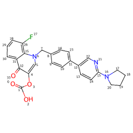 O=C(O)Oc1cn(Cc2ccc(-c3ccc(N4CCCC4)nc3)cc2)c2c(F)cccc2c1=O